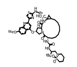 COc1ccc2c(O[C@@H]3C[C@H]4C(=O)N[C@]5(C(=O)O)CC5CCCCCCC[C@H](NC(=O)NC(CN5CCCCS5(=O)=O)C(C)(C)C)C(=O)N4C3)cc(-c3csc(NC(C)C)n3)nc2c1